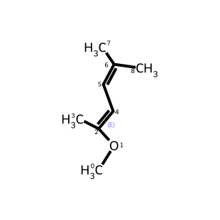 CO/C(C)=C/C=C(C)C